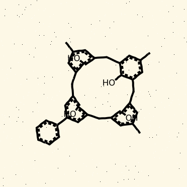 Cc1cc2c(O)c(c1)Cc1cc(C)cc(c1O)Cc1cc(-c3ccccc3)cc(c1O)Cc1cc(C)cc(c1O)C2